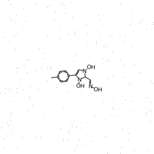 Cc1ccc(C2=CN(O)C(C=NO)N2O)cc1